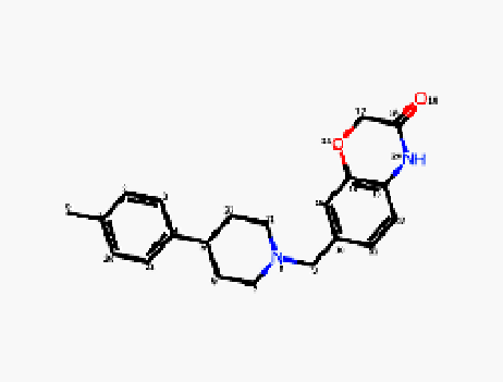 Cc1ccc(C2CCN(Cc3ccc4c(c3)OCC(=O)N4)CC2)cc1